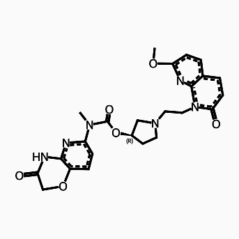 COc1ccc2ccc(=O)n(CCN3CC[C@@H](OC(=O)N(C)c4ccc5c(n4)NC(=O)CO5)C3)c2n1